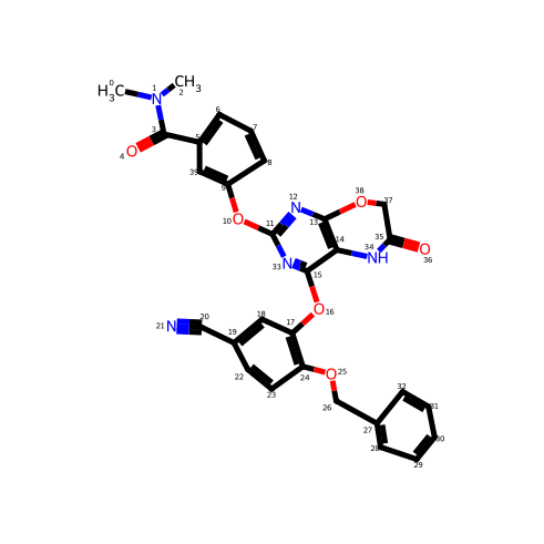 CN(C)C(=O)c1cccc(Oc2nc3c(c(Oc4cc(C#N)ccc4OCc4ccccc4)n2)NC(=O)CO3)c1